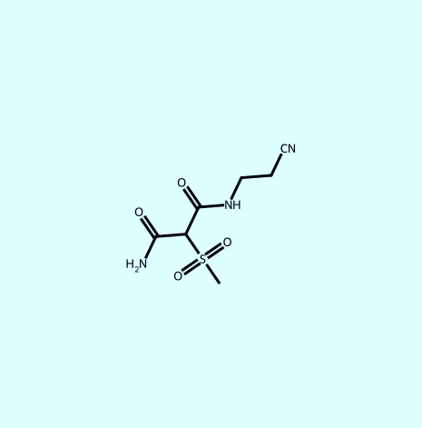 CS(=O)(=O)C(C(N)=O)C(=O)NCCC#N